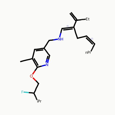 C=C(CC)/C(=C/NCc1cnc(OCC(F)C(C)C)c(C)c1)C/C=C\CCC